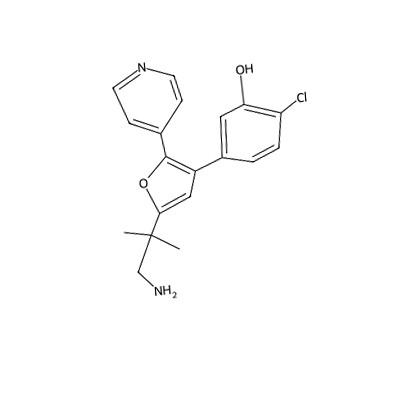 CC(C)(CN)c1cc(-c2ccc(Cl)c(O)c2)c(-c2ccncc2)o1